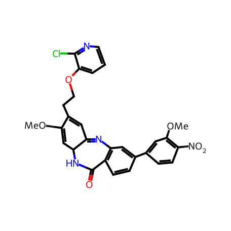 COC1=CC2NC(=O)c3ccc(-c4ccc([N+](=O)[O-])c(OC)c4)cc3N=C2C=C1CCOc1cccnc1Cl